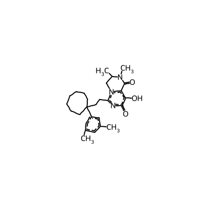 Cc1cc(C)cc(C2(CCc3nc(=O)c(O)c4n3CC(C)N(C)C4=O)CCCCCCC2)c1